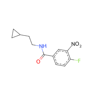 O=C(NCCC1CC1)c1ccc(F)c([N+](=O)[O-])c1